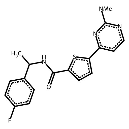 CNc1nccc(-c2ccc(C(=O)NC(C)c3ccc(F)cc3)s2)n1